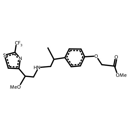 COC(=O)COc1ccc(C(C)CNCC(OC)c2csc(C(F)(F)F)n2)cc1